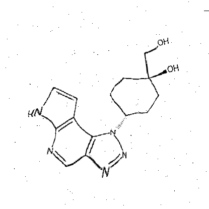 OC[C@]1(O)CC[C@H](n2nnc3cnc4[nH]ccc4c32)CC1